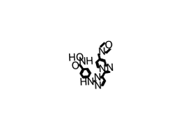 O=C(NO)c1ccc(Nc2nccc(-c3cnc4cc(CN5CCOCC5)ccn34)n2)cc1